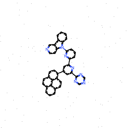 c1cc(-c2cc(-c3ccc4ccc5cccc6ccc3c4c56)cc(-c3ncncn3)n2)nc(-n2c3ccccc3c3cnccc32)c1